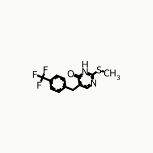 CSc1ncc(Cc2ccc(C(F)(F)F)cc2)c(=O)[nH]1